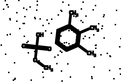 COS(=O)(=O)O.Cc1cccc(C)c1C